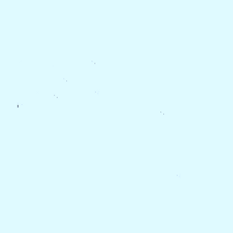 CC(C)c1nn(-c2noc(C3CCN(CC4CCNCC4)CC3)n2)c2c(F)cccc12.Cl.Cl